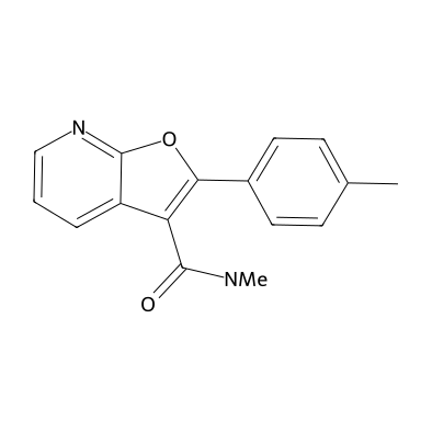 CNC(=O)c1c(-c2ccc(C)cc2)oc2ncccc12